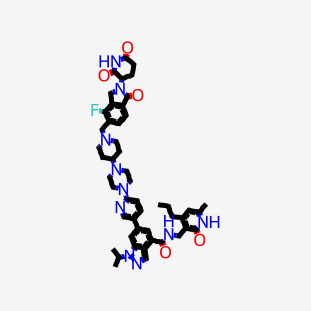 CCCc1cc(C)[nH]c(=O)c1CNC(=O)c1cc(-c2ccc(N3CCN(C4CCN(Cc5ccc6c(c5F)CN(C5CCC(=O)NC5=O)C6=O)CC4)CC3)nc2)cc2c1cnn2C(C)C